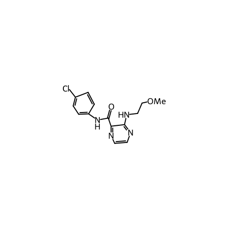 COCCNc1nccnc1C(=O)Nc1ccc(Cl)cc1